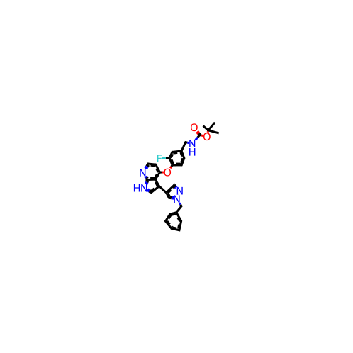 CC(C)(C)OC(=O)NCc1ccc(Oc2ccnc3[nH]cc(-c4cnn(Cc5ccccc5)c4)c23)c(F)c1